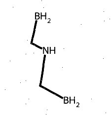 BCNCB